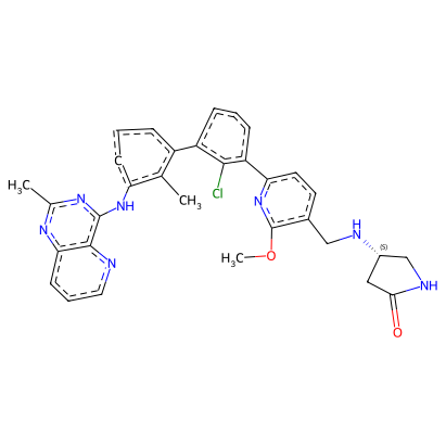 COc1nc(-c2cccc(-c3cccc(Nc4nc(C)nc5cccnc45)c3C)c2Cl)ccc1CN[C@@H]1CNC(=O)C1